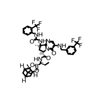 CC[C@H](NC(=O)[C@@H]1C[C@@](C)(NC(=O)Nc2ccccc2C(F)(F)F)c2ncc(NCc3cccc(C(F)(F)F)c3)c(=O)n21)B1O[C@@H]2C[C@@H]3C[C@@H](C3(C)C)[C@]2(C)O1